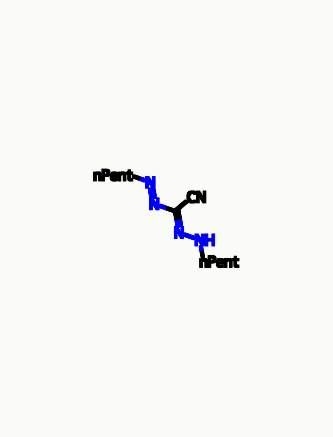 CCCCC/N=N/C(C#N)=N/NCCCCC